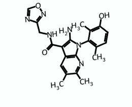 Cc1cc2c(C(=O)NCc3ncon3)c(N)n(-c3c(C)ccc(O)c3C)c2nc1C